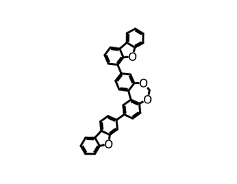 c1ccc2c(c1)oc1cc(-c3ccc4c(c3)-c3ccc(-c5cccc6c5oc5ccccc56)cc3OCO4)ccc12